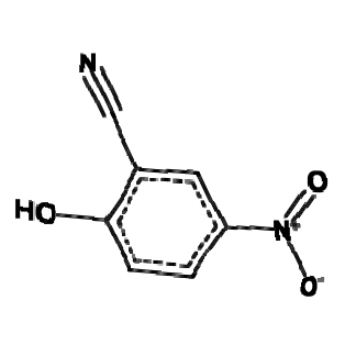 N#Cc1cc([N+](=O)[O-])ccc1O